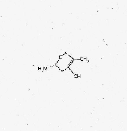 CC1=C(O)C[C@H](N)CC1